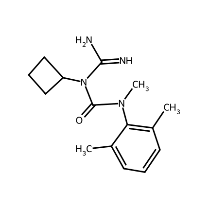 Cc1cccc(C)c1N(C)C(=O)N(C(=N)N)C1CCC1